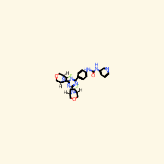 O=C(Nc1ccc(-c2nc(N3[C@@H]4COC[C@H]3[C@@H](F)C4)nc(N3[C@@H]4COC[C@H]3[C@@H](F)C4)n2)cc1)Nc1cccnc1